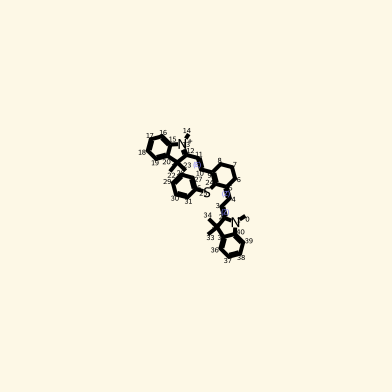 CN1/C(=C\C=C2\CCCC(/C=C/C3=[N+](C)c4ccccc4C3(C)C)=C2Sc2ccccc2)C(C)(C)c2ccccc21